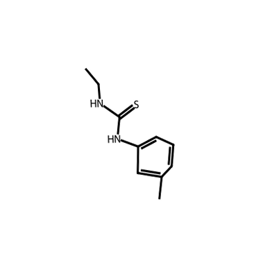 CCNC(=S)Nc1cccc(C)c1